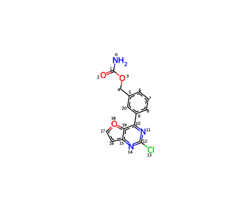 NC(=O)OCc1cccc(-c2nc(Cl)nc3ccoc23)c1